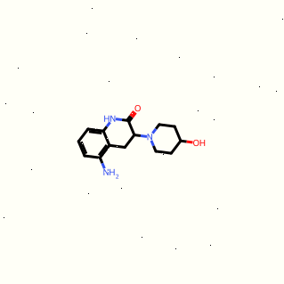 Nc1cccc2c1CC(N1CCC(O)CC1)C(=O)N2